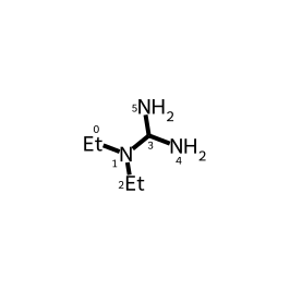 CCN(CC)C(N)N